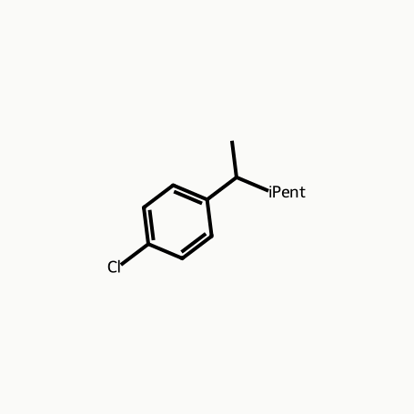 CCCC(C)C(C)c1ccc(Cl)cc1